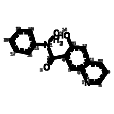 CN(C(=O)c1cc2ncccc2cc1O)c1ccccc1